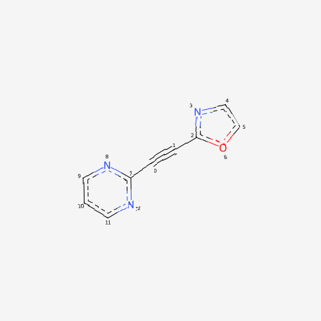 C(#Cc1ncco1)c1ncccn1